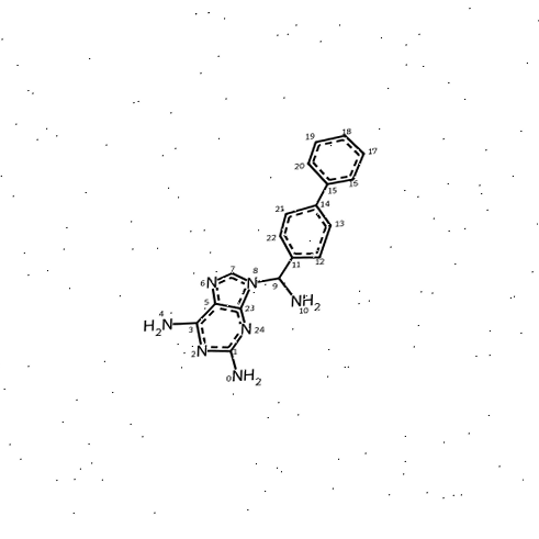 Nc1nc(N)c2ncn(C(N)c3ccc(-c4ccccc4)cc3)c2n1